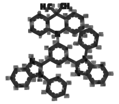 CC1(C)c2ccccc2N(c2cc(-c3nc4ccccc4n3-c3ccccc3)cc(-c3nc4ccccc4n3-c3ccccc3)c2)c2ccccc21